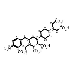 O=C(O)CN(CC(=O)O)C(Cc1ccc([N+](=O)[O-])cc1)CN(CC(=O)O)[C@H]1CC[C@H](N(CC(=O)O)CC(=O)O)CC1